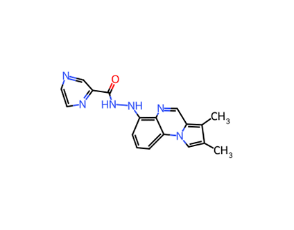 Cc1cn2c(cnc3c(NNC(=O)c4cnccn4)cccc32)c1C